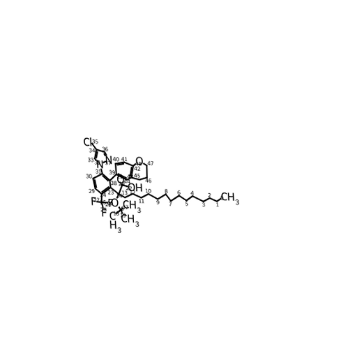 CCCCCCCCCCCCCCC(OC(C)(C)C)(C(=O)O)c1c(C(F)(F)F)ccc(-n2cc(Cl)cn2)c1-c1ccc2c(c1)CCCO2